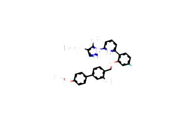 Cc1cc(-c2ccc(OC(F)(F)F)cc2)ccc1COc1cc(F)ccc1-c1cccc(-n2ncc(C(=O)O)c2C(F)(F)F)n1